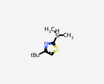 C[SiH](C)c1nc(C(C)(C)C)cs1